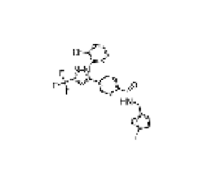 Cc1ccc(CNC(=O)c2ccc(-c3cc(C(F)(F)F)nn3-c3ccccc3Cl)cc2)o1